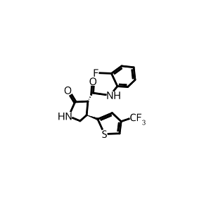 O=C1NC[C@H](c2cc(C(F)(F)F)cs2)[C@H]1C(=O)Nc1ccccc1F